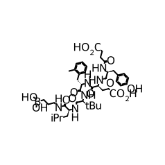 Cc1ccccc1C[C@H](NC(=O)[C@H](CCC(=O)O)NC(=O)[C@H](Cc1ccc(O)cc1)NC(=O)CCC(=O)O)C(=O)N[C@H](C(=O)N[C@@H](CC(C)C)C(=O)NCCCB(O)O)C(C)(C)C